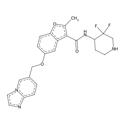 Cc1oc2ccc(OCc3ccc4nccn4c3)cc2c1C(=O)NC1CCNCC1(F)F